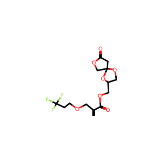 C=C(COCCC(F)(F)F)C(=O)OCC1COC2(COC(=O)C2)O1